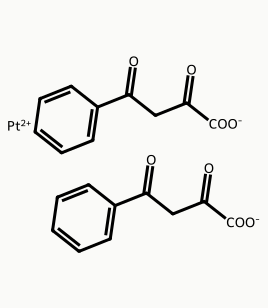 O=C([O-])C(=O)CC(=O)c1ccccc1.O=C([O-])C(=O)CC(=O)c1ccccc1.[Pt+2]